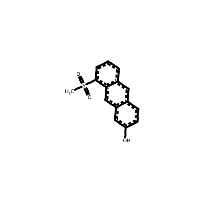 CS(=O)(=O)c1cccc2cc3ccc(O)cc3cc12